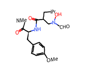 CNC(=O)[C@H](Cc1ccc(OC)cc1)NC(=O)C(CC(C)C)CN(O)C=O